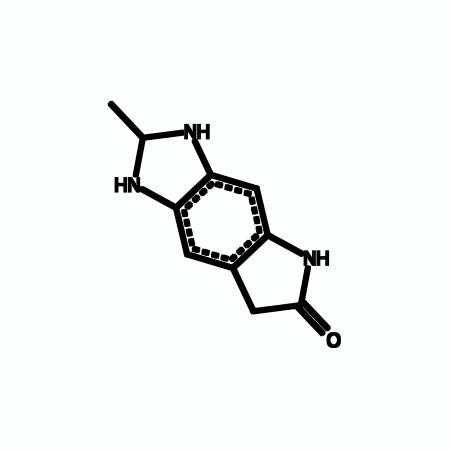 CC1Nc2cc3c(cc2N1)NC(=O)C3